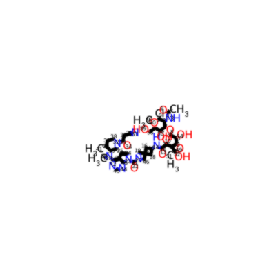 CCC(NC(C)=O)C(OC1OC(C(=O)NC2CC3(C2)CN(C(=O)n2ccc4c(N(C)[C@H]5CN(C(=O)CC#N)CC[C@H]5C)ncnc42)C3)C2C(OC2(C)O)C1O)C(O)C(CO)OC